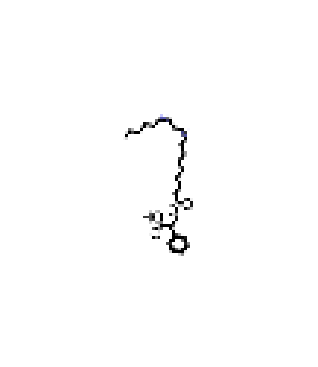 CCCCC/C=C\C/C=C\CCCCCCCC(=O)OCC(C(=O)O)c1ccccc1